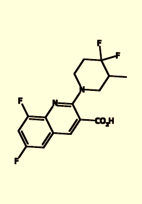 CC1CN(c2nc3c(F)cc(F)cc3cc2C(=O)O)CCC1(F)F